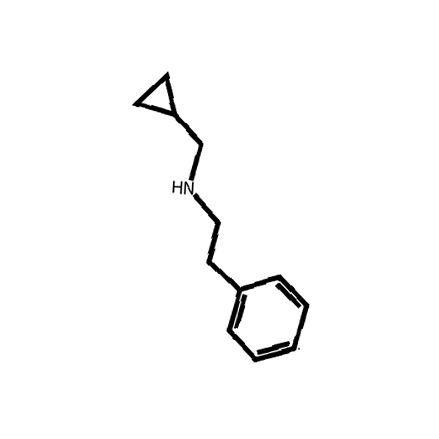 [c]1ccc(CCNCC2CC2)cc1